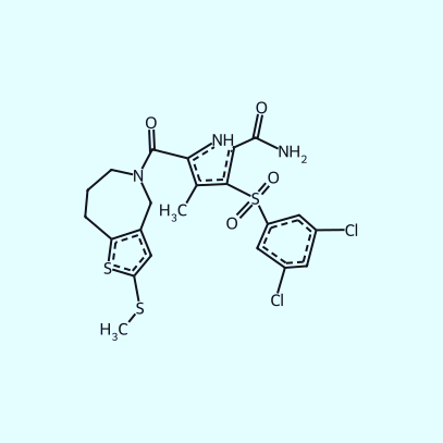 CSc1cc2c(s1)CCCN(C(=O)c1[nH]c(C(N)=O)c(S(=O)(=O)c3cc(Cl)cc(Cl)c3)c1C)C2